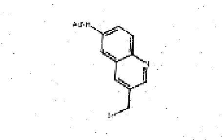 CC(=O)Nc1ccc2ncc(CBr)cc2n1